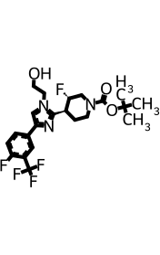 CC(C)(C)OC(=O)N1CC[C@@H](c2nc(-c3ccc(F)c(C(F)(F)F)c3)cn2CCO)[C@H](F)C1